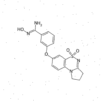 NC(=NO)c1cccc(Oc2ccc3c(c2)S(=O)(=O)N=C2CCCN23)c1